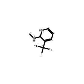 CN[C]1NC=CC=C1C(F)(F)F